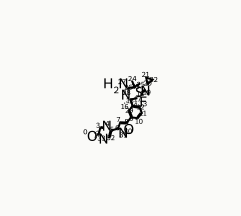 COc1cnc(-c2cc(-c3ccc(F)c([C@]4(C)C[S@](=NC5CC5)C(C)(C)C(N)=N4)c3)on2)cn1